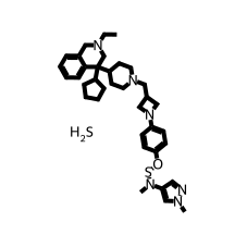 CCN1Cc2ccccc2C(C2CCCC2)(C2CCN(CC3CN(c4ccc(OSN(C)c5cnn(C)c5)cc4)C3)CC2)C1.S